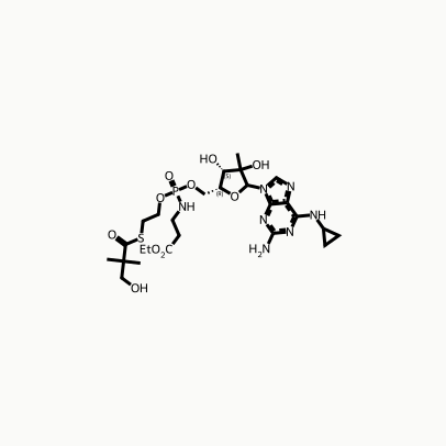 CCOC(=O)CCNP(=O)(OCCSC(=O)C(C)(C)CO)OC[C@H]1OC(n2cnc3c(NC4CC4)nc(N)nc32)C(C)(O)[C@H]1O